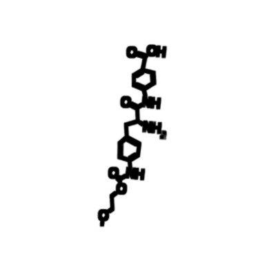 COCCOC(=O)Nc1ccc(C[C@H](N)C(=O)Nc2ccc(C(=O)O)cc2)cc1